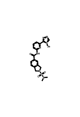 CC(C)n1cnnc1-c1cccc(NC(=O)c2ccc3c(c2)CN(S(=O)(=O)N(C)C)C3)n1